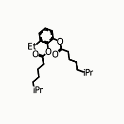 CCc1cccc(OC(=O)CCCCC(C)C)c1OC(=O)CCCCC(C)C